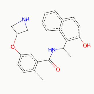 Cc1ccc(OC2CNC2)cc1C(=O)NC(C)c1c(O)ccc2ccccc12